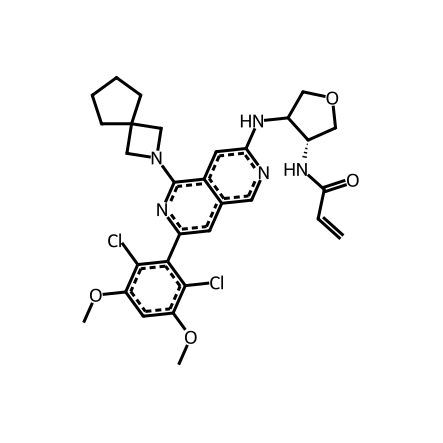 C=CC(=O)N[C@H]1COCC1Nc1cc2c(N3CC4(CCCC4)C3)nc(-c3c(Cl)c(OC)cc(OC)c3Cl)cc2cn1